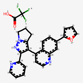 O=C(O)C(F)(F)F.c1ccc(-c2nn3c(c2-c2ccnc4cc(-c5ccco5)ccc24)CCC3)nc1